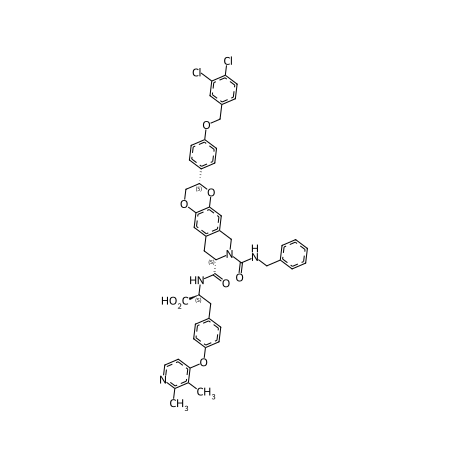 Cc1nccc(Oc2ccc(C[C@H](NC(=O)[C@@H]3Cc4cc5c(cc4CN3C(=O)NCc3ccccc3)O[C@@H](c3ccc(OCc4ccc(Cl)c(Cl)c4)cc3)CO5)C(=O)O)cc2)c1C